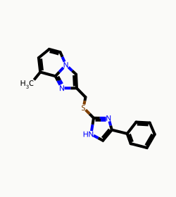 Cc1cccn2cc(CSc3nc(-c4ccccc4)c[nH]3)nc12